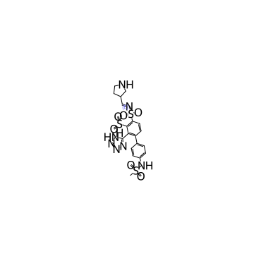 CS(=O)(=O)Nc1ccc(-c2ccc(S(=O)(=O)/N=C/C3CCNC3)c([SH](=O)=O)c2-c2nnn[nH]2)cc1